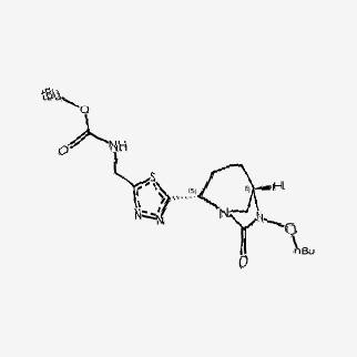 CCCCON1C(=O)N2C[C@@H]1CC[C@H]2c1nnc(CNC(=O)OC(C)(C)C)s1